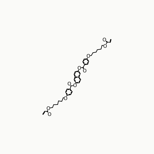 C=CC(=O)OCCCCCCOc1ccc(C(=O)Oc2ccc3cc(OC(=O)c4ccc(OCCCCCCOC(=O)C=C)cc4)ccc3c2)cc1